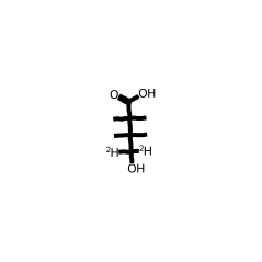 [2H]C([2H])(O)C(C)(C)C(C)(C)C(=O)O